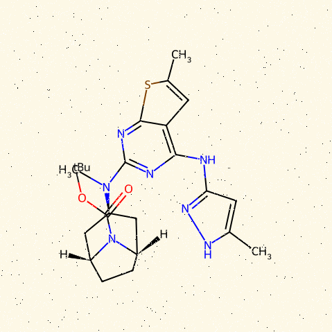 Cc1cc(Nc2nc(N(C)[C@@H]3C[C@H]4CC[C@@H](C3)N4C(=O)OC(C)(C)C)nc3sc(C)cc23)n[nH]1